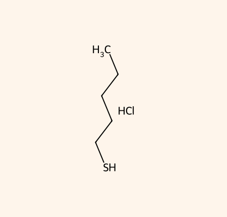 CCCCCS.Cl